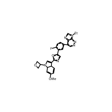 CCn1cnc2c(-c3ccc(F)c(-c4cnc(C5=CN(C6COC6)C6C=C(OC)C=CC56)o4)c3)cnnc21